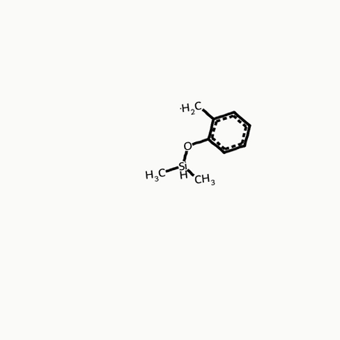 [CH2]c1ccccc1O[SiH](C)C